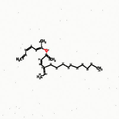 C=C/C=C\C=C(/C)OC(=C)/C=C\C(=C/C)CCCCCCCCCC